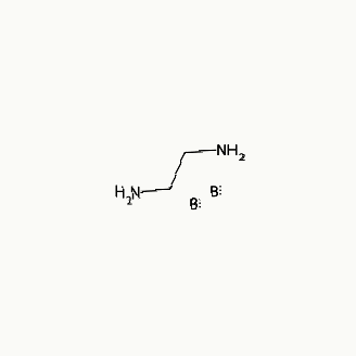 NCCN.[B].[B]